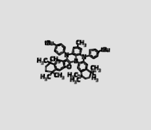 Cc1cc2c3c(c1)N(c1ccc(C(C)(C)C)cc1)c1c(oc4cc5c(cc14)C(C)(C)CCC5(C)C)B3c1cc3c(cc1N2c1ccc(C(C)(C)C)cc1)C(C)(C)CCC3(C)C